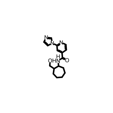 O=C(NC1CCCCCC1CO)c1ccnc(-n2ccnc2)c1